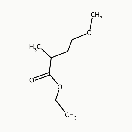 CCOC(=O)C(C)CCOC